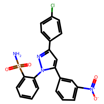 NS(=O)(=O)c1ccccc1-n1nc(-c2ccc(Cl)cc2)cc1-c1cccc([N+](=O)[O-])c1